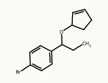 CCC(OC1C=CCC1)c1ccc(Br)cc1